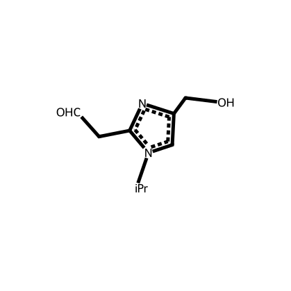 CC(C)n1cc(CO)nc1CC=O